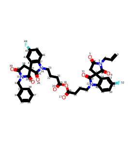 C=CCN1C(=O)CC2(C1=O)C(=O)N(CCCC(=O)OC(=O)CCCN1C(=O)C3(CC(=O)N(Cc4ccccc4)C3=O)c3cc(F)ccc31)c1ccc(F)cc12